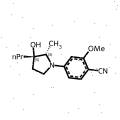 CCC[C@]1(O)CCN(c2ccc(C#N)c(OC)c2)[C@H]1C